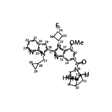 COc1cc(C(=O)N2C[C@H]3CC4C[C@@H]2[C@H]43)cc2nc(-c3cc4cccnc4n3CC3CC3)n([C@H]3C[C@@H](F)C3)c12